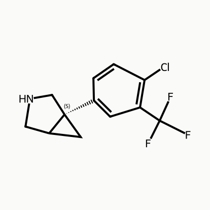 FC(F)(F)c1cc([C@@]23CNCC2C3)ccc1Cl